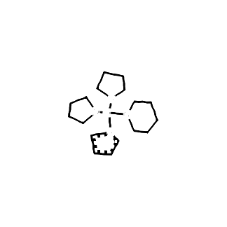 c1ccn([Si](N2CCCCC2)(N2CCCC2)N2CCCC2)c1